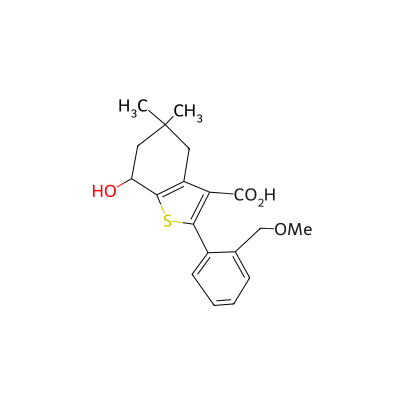 COCc1ccccc1-c1sc2c(c1C(=O)O)CC(C)(C)CC2O